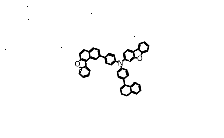 C1=C(c2ccc(N(c3ccc(-c4ccc5ccc6oc7ccccc7c6c5c4)cc3)c3ccc4c(c3)oc3ccccc34)cc2)c2ccccc2CC1